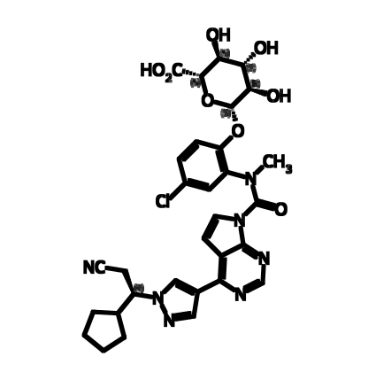 CN(C(=O)n1ccc2c(-c3cnn([C@H](CC#N)C4CCCC4)c3)ncnc21)c1cc(Cl)ccc1O[C@@H]1O[C@H](C(=O)O)[C@@H](O)[C@H](O)[C@H]1O